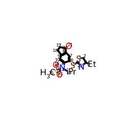 CCC1CSC(Sc2cc3c(cc2N(C(C)C)S(C)(=O)=O)CCC3=O)=N1